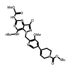 CCCCNc1nc(NC(=O)OC)nc2c(Cl)nn(Cc3ncc(C4=CCN(C(=O)OC(C)(C)C)CC4)cc3OC)c12